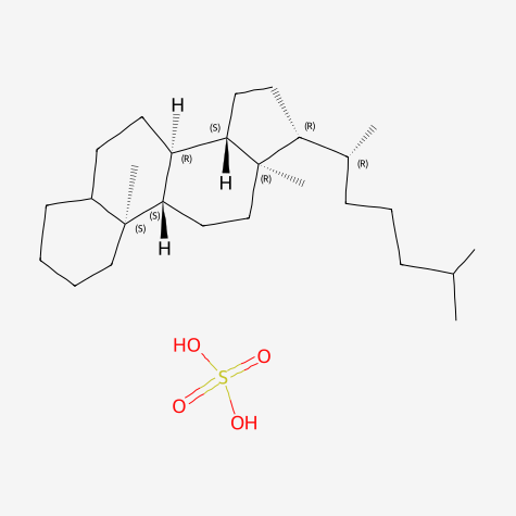 CC(C)CCC[C@@H](C)[C@H]1CC[C@H]2[C@@H]3CCC4CCCC[C@]4(C)[C@H]3CC[C@]12C.O=S(=O)(O)O